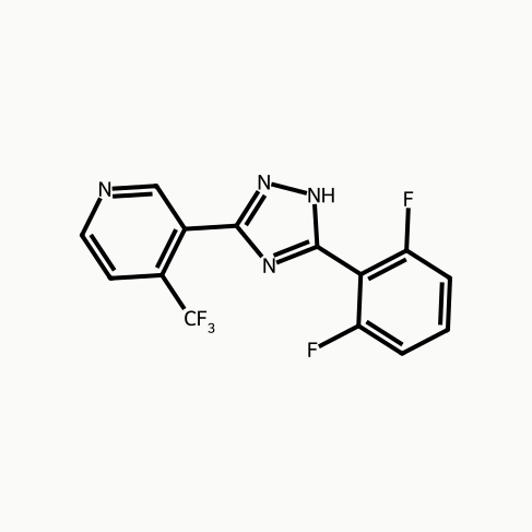 Fc1cccc(F)c1-c1nc(-c2cnccc2C(F)(F)F)n[nH]1